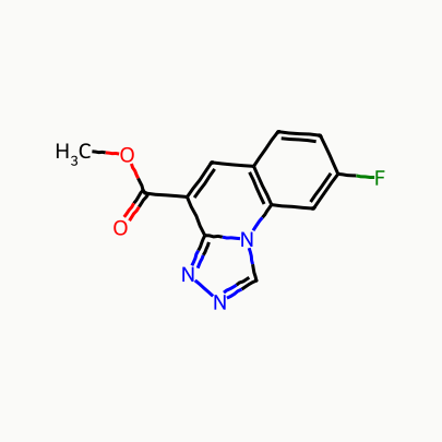 COC(=O)c1cc2ccc(F)cc2n2cnnc12